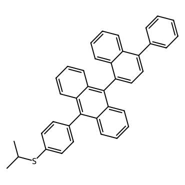 CC(C)Sc1ccc(-c2c3ccccc3c(-c3ccc(-c4ccccc4)c4ccccc34)c3ccccc23)cc1